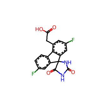 O=C(O)Cc1cc(F)cc2c1-c1ccc(F)cc1C21NC(=O)NC1=O